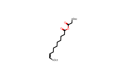 CCCCCCCC/C=C\CCCCCCCC(=O)OC(=O)CCCCCCCCCCC